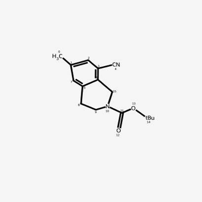 Cc1cc(C#N)c2c(c1)CCN(C(=O)OC(C)(C)C)C2